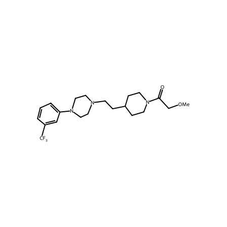 COCC(=O)N1CCC(CCN2CCN(c3cccc(C(F)(F)F)c3)CC2)CC1